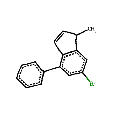 CC1C=Cc2c(-c3ccccc3)cc(Br)cc21